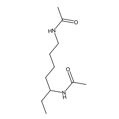 CCC(CCCCNC(C)=O)NC(C)=O